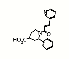 O=C(O)C1CCN(C(=O)C=Cc2cccnc2)C(c2ccccc2)C1